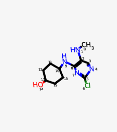 CNc1cnc(Cl)nc1NC1CCC(O)CC1